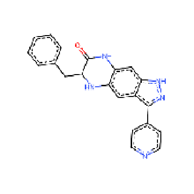 O=C1Nc2cc3[nH]nc(-c4ccncc4)c3cc2NC1Cc1ccccc1